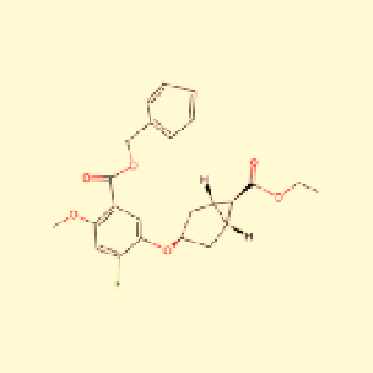 CCOC(=O)[C@H]1[C@@H]2C[C@@H](Oc3cc(C(=O)OCc4ccccc4)c(OC)cc3F)C[C@@H]21